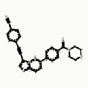 N#Cc1ccc(C#Cc2cnc3ccc(-c4ccc(C(=O)N5CCOCC5)cc4)nn23)cc1